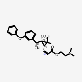 CN(C)CCOC(=O)/C=C\[C@H]1C(C)(C)[C@]1(C(=O)O)[C@@H](C#N)c1cccc(Oc2ccccc2)c1